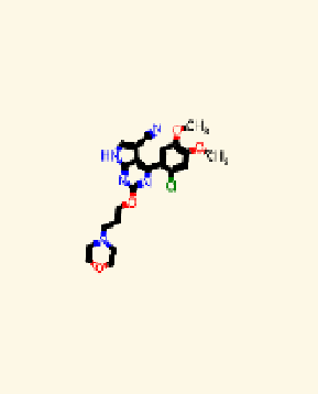 COc1cc(Cl)c(-c2nc(OCCCN3CCOCC3)nc3[nH]cc(C#N)c23)cc1OC